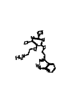 NCCOc1c(Cl)nc(Cl)nc1OCCc1c[nH]c2ccccc12